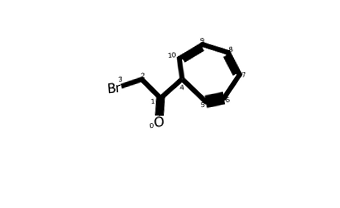 O=C(CBr)C1C#CC=CC=C1